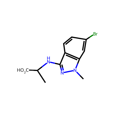 CC(Nc1nn(C)c2cc(Br)ccc12)C(=O)O